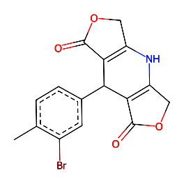 Cc1ccc(C2C3=C(COC3=O)NC3=C2C(=O)OC3)cc1Br